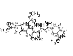 C=CC(=O)Nc1cc(N/C(=C/C(=N)c2ccc3cnn(C)c3c2)NN)c(OC)cc1N1CCC(N(C)C)CC1